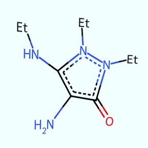 CCNc1c(N)c(=O)n(CC)n1CC